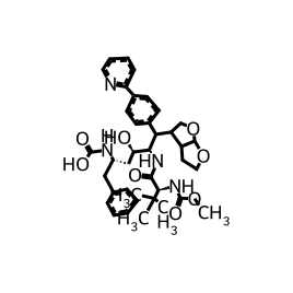 COC(=O)N[C@H](C(=O)N[C@@H](C(c1ccc(-c2ccccn2)cc1)C1COC2OCCC21)[C@H](O)C[C@H](Cc1ccccc1)NC(=O)O)C(C)(C)C